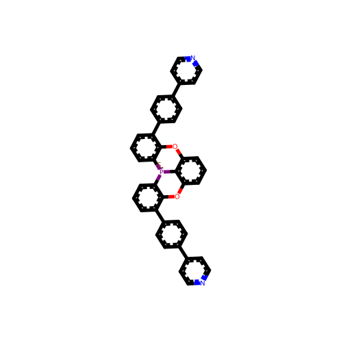 S=P12c3cccc(-c4ccc(-c5ccncc5)cc4)c3Oc3cccc(c31)Oc1c(-c3ccc(-c4ccncc4)cc3)cccc12